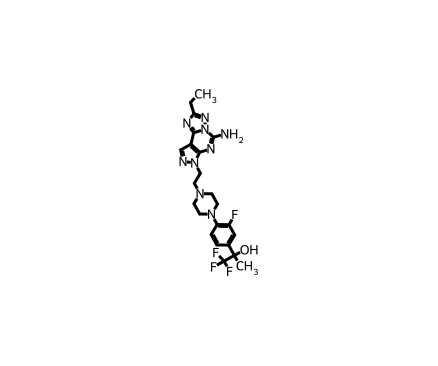 CCc1nc2c3cnn(CCN4CCN(c5ccc(C(C)(O)C(F)(F)F)cc5F)CC4)c3nc(N)n2n1